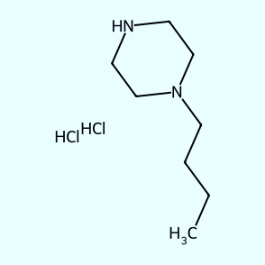 CCCCN1CCNCC1.Cl.Cl